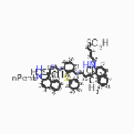 CCCCCNc1ccc2ccccc2c1C(C)(C)/C=C\C=C1/CCCC(/C=C/CC(C)(C)c2c(NCCCCS(=O)(=O)O)ccc3ccccc23)=C1Sc1ccccc1